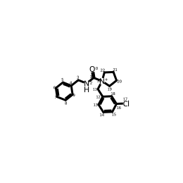 O=C(NCc1ccccc1)[N+]1(Cc2cccc(Cl)c2)CCCC1